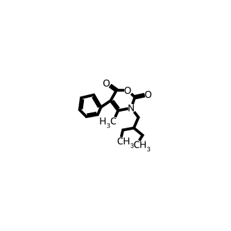 CCC(CC)Cn1c(C)c(-c2ccccc2)c(=O)oc1=O